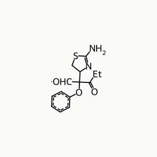 CCC(=O)C([C]=O)(Oc1ccccc1)C1CSC(N)=N1